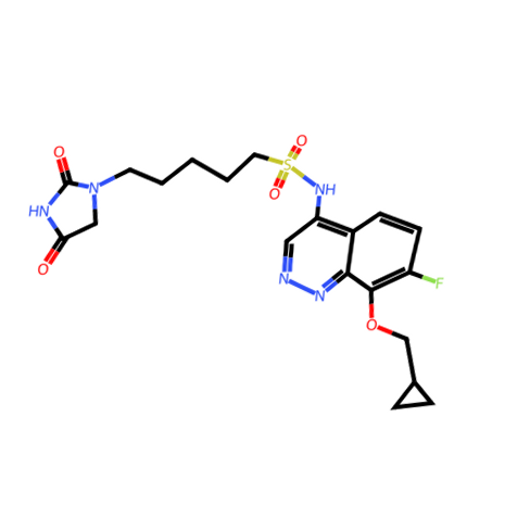 O=C1CN(CCCCCS(=O)(=O)Nc2cnnc3c(OCC4CC4)c(F)ccc23)C(=O)N1